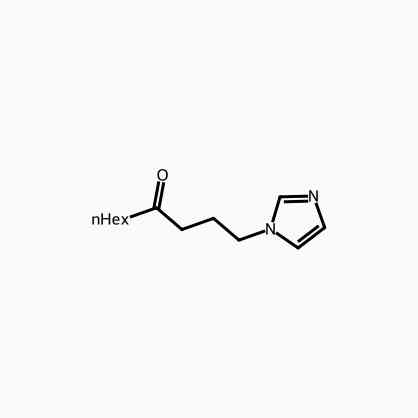 CCCCCCC(=O)CCCn1ccnc1